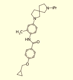 Cc1cc(N2CCC3(CCN(C(C)C)C3)C2)ccc1NC(=O)c1ccc(OCC2CC2)cc1